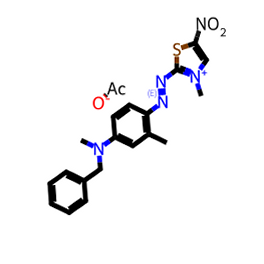 CC(=O)[O-].Cc1cc(N(C)Cc2ccccc2)ccc1/N=N/c1sc([N+](=O)[O-])c[n+]1C